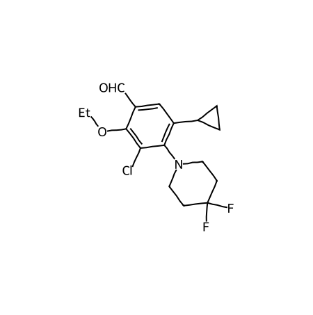 CCOc1c(C=O)cc(C2CC2)c(N2CCC(F)(F)CC2)c1Cl